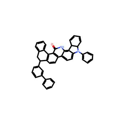 O=c1[nH]c2c3c(ccc2c2ccc4c(c12)-c1ccccc1CC4c1cccc(-c2ccccc2)c1)N(c1ccccc1)C1C=CC=CC31